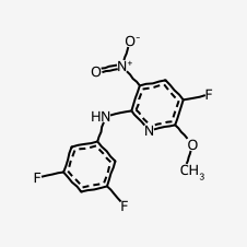 COc1nc(Nc2cc(F)cc(F)c2)c([N+](=O)[O-])cc1F